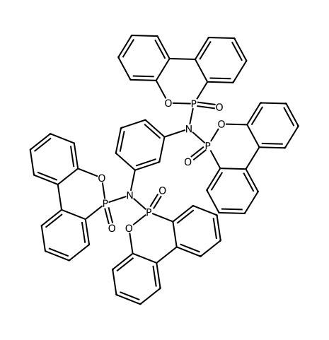 O=P1(N(c2cccc(N(P3(=O)Oc4ccccc4-c4ccccc43)P3(=O)Oc4ccccc4-c4ccccc43)c2)P2(=O)Oc3ccccc3-c3ccccc32)Oc2ccccc2-c2ccccc21